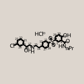 CCCNC(=O)c1cc(S(=O)(=O)c2ccc(CCNC[C@H](O)c3cccc(Cl)c3)cc2)ccc1O.Cl